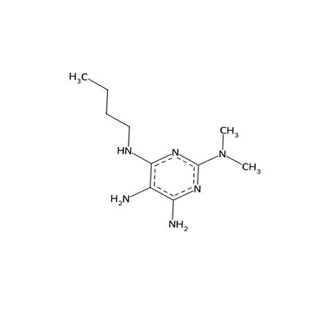 CCCCNc1nc(N(C)C)nc(N)c1N